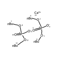 CCCCOP(=O)([O-])OCCCC.CCCCOP(=O)([O-])OCCCC.[Ca+2]